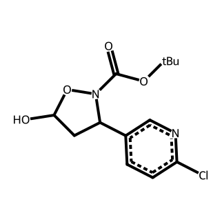 CC(C)(C)OC(=O)N1OC(O)CC1c1ccc(Cl)nc1